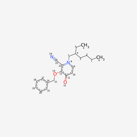 CCCCC(CC)Cn1ccc(=O)c(OCc2ccccc2)c1C#N